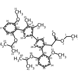 CCOC(=O)Cc1cc(-c2sc(-c3c(OC)cccc3OC(C)C)c(C)c2C)sc1-c1c(OC)cccc1OC(C)C